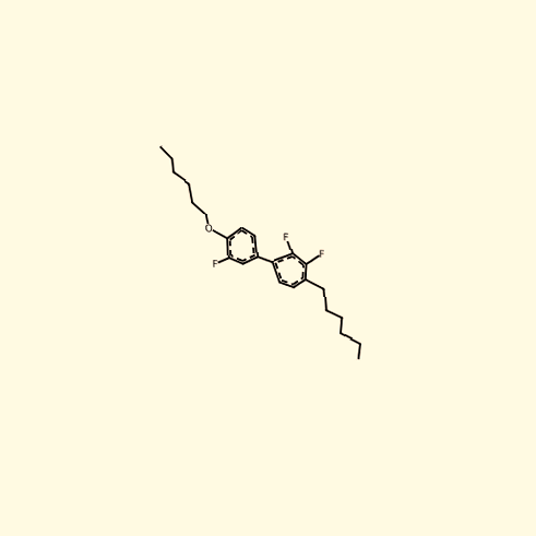 CCCCCCOc1ccc(-c2ccc(CCCCCC)c(F)c2F)cc1F